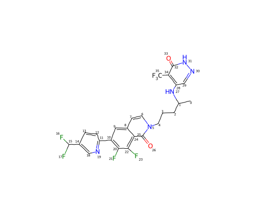 CC(CCCn1ccc2cc(-c3ccc(C(F)F)cn3)c(F)c(F)c2c1=O)Nc1cn[nH]c(=O)c1C(F)(F)F